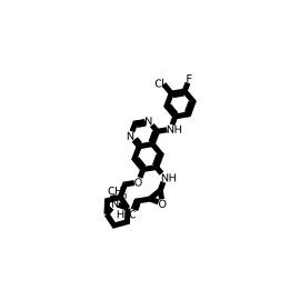 C=CC1OC1Nc1cc2c(Nc3ccc(F)c(Cl)c3)ncnc2cc1OCC1CC2CCC1N2C